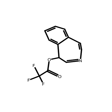 O=C(OC1C=NC=Cc2ccccc21)C(F)(F)F